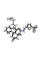 O=[N+]([O-])c1ccc(/C=C/c2nc(N(CCCO)c3cccnc3)c3ccc(F)cc3n2)o1